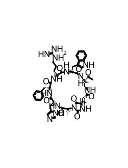 CC(=O)[C@@H]1CNC(=O)C[C@@H]2NC(=O)N(C2=O)[C@H](C)C(=O)N[C@@H](Cc2cnc[nH]2)C(=O)N[C@H](Cc2ccccc2)C(=O)N[C@@H](CCCNC(=N)N)C(=O)N[C@@H](Cc2c[nH]c3ccccc23)C(=O)N1